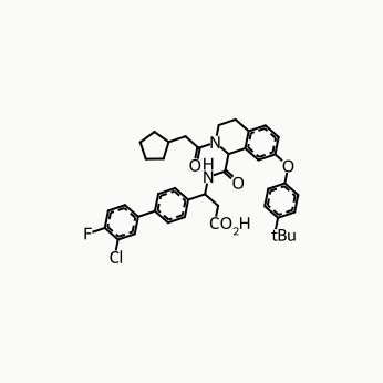 CC(C)(C)c1ccc(Oc2ccc3c(c2)C(C(=O)NC(CC(=O)O)c2ccc(-c4ccc(F)c(Cl)c4)cc2)N(C(=O)CC2CCCC2)CC3)cc1